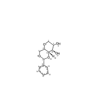 OC1COC2COC(c3ccccc3)O[C@H]2[C@@H]1O